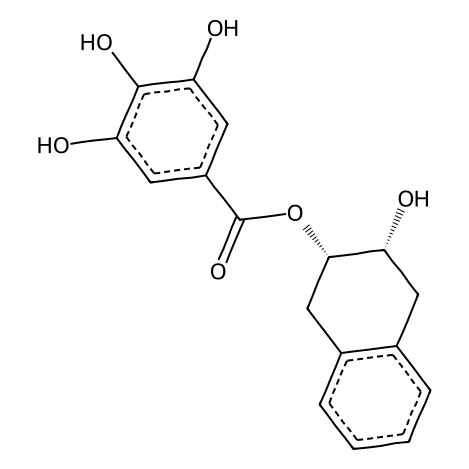 O=C(O[C@H]1Cc2ccccc2C[C@H]1O)c1cc(O)c(O)c(O)c1